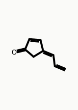 C=CC=C1C=CC(=O)C1